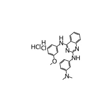 COc1cccc(Nc2nc(Nc3cccc(N(C)C)c3)nc3ccccc23)c1.Cl.Cl